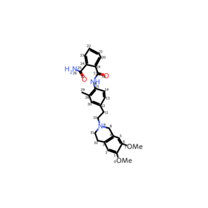 COc1cc2c(cc1OC)CN(CCc1ccc(NC(=O)c3ccccc3C(N)=O)c(C)c1)CC2